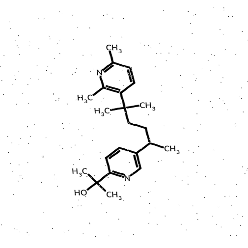 Cc1ccc(C(C)(C)CCC(C)c2ccc(C(C)(C)O)nc2)c(C)n1